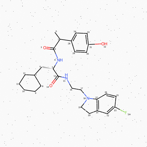 CC(C(=O)N[C@@H](CC1CCCCC1)C(=O)NCCN1CCc2cc(F)ccc21)c1ccc(O)cc1